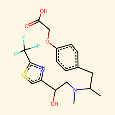 CC(Cc1ccc(OCC(=O)O)cc1)N(C)CC(O)c1csc(C(F)(F)F)n1